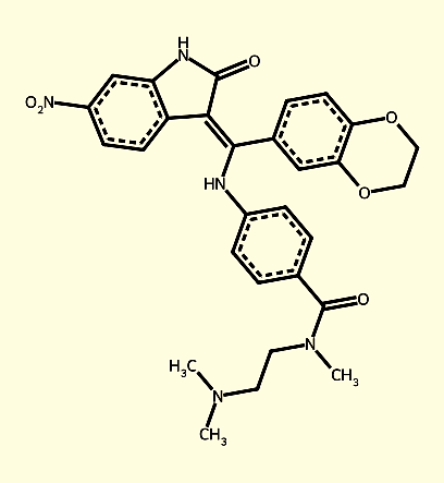 CN(C)CCN(C)C(=O)c1ccc(NC(=C2C(=O)Nc3cc([N+](=O)[O-])ccc32)c2ccc3c(c2)OCCO3)cc1